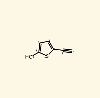 C#Cc1ccc(O)s1